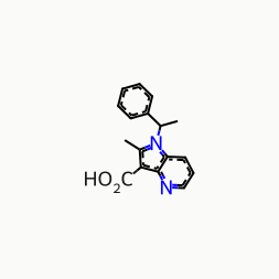 Cc1c(C(=O)O)c2ncccc2n1C(C)c1ccccc1